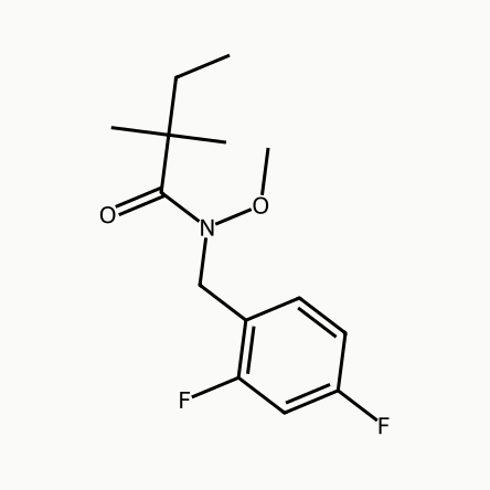 CCC(C)(C)C(=O)N(Cc1ccc(F)cc1F)OC